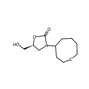 O=C1O[C@H](CO)CN1C1CCCCCCC1